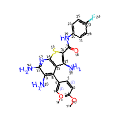 C=C(/C=C\C(=C/OC)c1c(N)c(N)nc2sc(C(=O)Nc3ccc(F)cc3)c(N)c12)OC